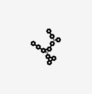 c1ccc(-c2ccc(-c3ccc4c(c3)c3cc(-c5ccc(N(c6ccccc6)c6ccc(-c7ccccc7)cc6)cc5)ccc3n4-c3ccc4c5ccccc5c5ccccc5c4c3)cc2)cc1